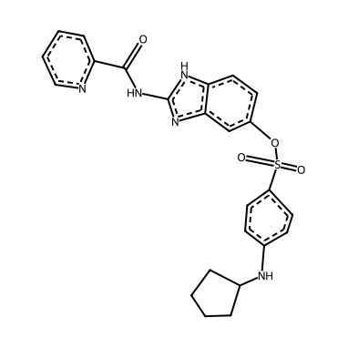 O=C(Nc1nc2cc(OS(=O)(=O)c3ccc(NC4CCCC4)cc3)ccc2[nH]1)c1ccccn1